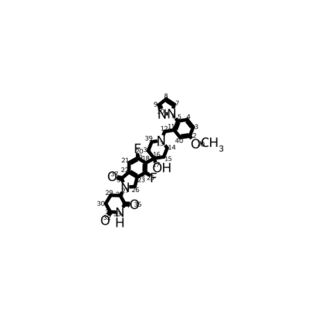 COc1ccc(-n2cccn2)c(CN2CCC(O)(c3c(F)cc4c(c3F)CN(C3CCC(=O)NC3=O)C4=O)CC2)c1